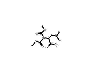 COC(=O)N(C(=O)OC)[C@@H](CC(C)C)C(=O)O